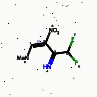 CN/C=C(\C(=N)C(F)F)[N+](=O)[O-]